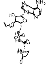 Nc1ncnc2c1ncn2[C@@H]1O[C@H](CNS(=O)(=O)NC(=O)[C@@H]2CCC(=O)N2)C(O)[C@@H]1O